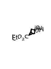 CCOC(=O)C1C2CC(O)(C(C)CC)CC21